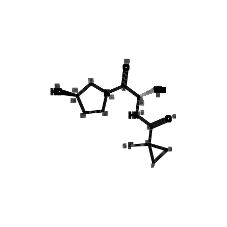 CC(C)(C)[C@H](NC(=O)C1(F)CC1)C(=O)N1CC[C@@H](O)C1